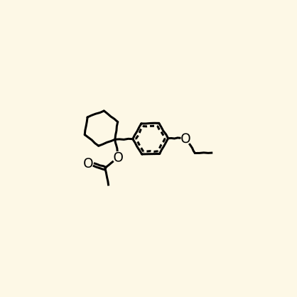 CCOc1ccc(C2(OC(C)=O)CCCCC2)cc1